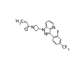 C=CC(=O)N1CC(n2nc(-c3ccc(C(F)(F)F)cc3F)c3ncccc32)C1